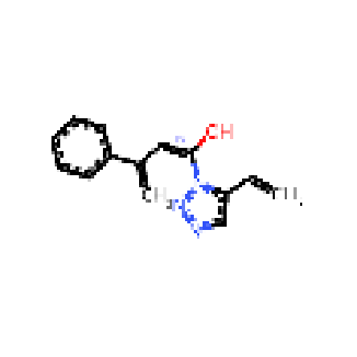 C=Cc1cnnn1/C(O)=C\C(=C)c1ccccc1